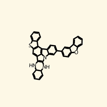 C1=CC2Nc3c(n4c5cc(-c6ccc7oc8ccccc8c7c6)ccc5c5c6c(cc3c54)sc3ccccc36)NC2C=C1